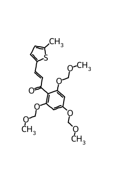 COCOc1cc(OCOC)c(C(=O)/C=C/c2ccc(C)s2)c(OCOC)c1